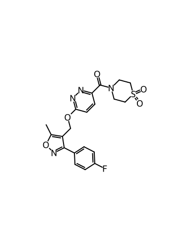 Cc1onc(-c2ccc(F)cc2)c1COc1ccc(C(=O)N2CCS(=O)(=O)CC2)nn1